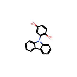 Oc1ccc(O)c(-n2c3ccccc3c3ccccc32)c1